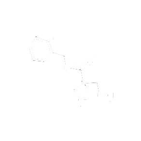 O=C(O)CN(CC(F)(F)F)C(=O)OCc1ccccc1